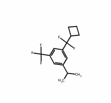 CC(C)c1cc(C(F)(F)F)cc(C(F)(F)C2CCC2)c1